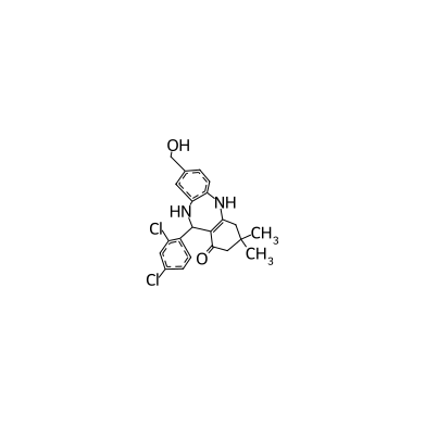 CC1(C)CC(=O)C2=C(C1)Nc1ccc(CO)cc1NC2c1ccc(Cl)cc1Cl